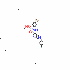 O=C(NC(CO)c1ccc(Br)cc1)c1cnc2c(c1)CN(Cc1ccc(C(F)(F)F)cc1)C2